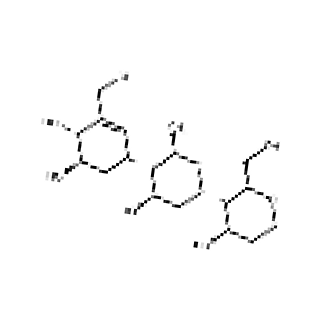 C[C@H]1O[C@H](C2[C@H](O)CCO[C@@H]2CO)C[C@@H](O)[C@@H]1C1C=C(CO)[C@@H](O)[C@H](O)C1